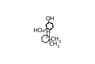 CC1(C)CCC[C@H](C(O)c2cccc(O)c2)N1